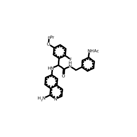 CCCOc1ccc(F)c(C(Nc2ccc3c(N)nccc3c2)C(=O)NCc2cccc(NC(C)=O)c2)c1